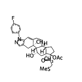 CSCC(=O)[C@@]1(OC(C)=O)CC[C@H]2[C@@H]3CCC4=Cc5c(cnn5-c5ccc(F)cc5)C[C@]4(C)[C@H]3[C@@H](O)C[C@@]21C